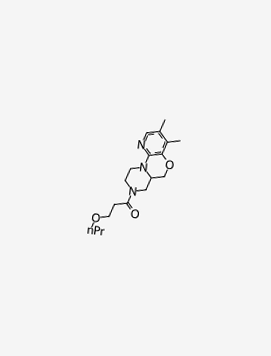 CCCOCCC(=O)N1CCN2c3ncc(C)c(C)c3OCC2C1